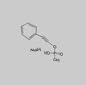 O=P(O)(O)OC#Cc1ccccc1.[NaH]